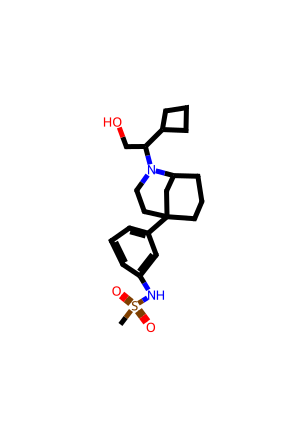 CS(=O)(=O)Nc1cccc(C23CCCC(C2)N(C(CO)C2CCC2)CC3)c1